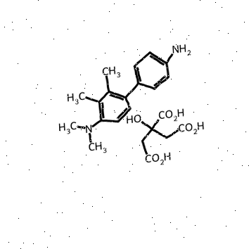 Cc1c(-c2ccc(N)cc2)ccc(N(C)C)c1C.O=C(O)CC(O)(CC(=O)O)C(=O)O